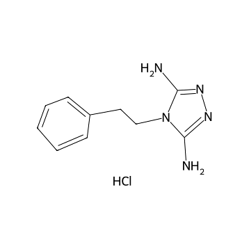 Cl.Nc1nnc(N)n1CCc1ccccc1